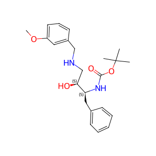 COc1cccc(CNC[C@H](O)[C@H](Cc2ccccc2)NC(=O)OC(C)(C)C)c1